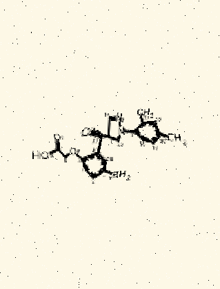 Bc1ccc(OCC(=O)O)c(C(=O)C2C=NN(c3ccc(C)cc3C)C2)c1